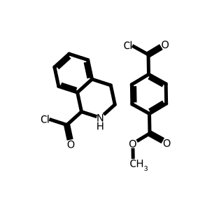 COC(=O)c1ccc(C(=O)Cl)cc1.O=C(Cl)C1NCCc2ccccc21